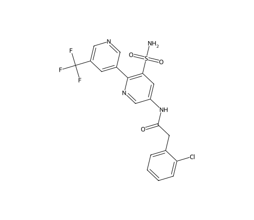 NS(=O)(=O)c1cc(NC(=O)Cc2ccccc2Cl)cnc1-c1cncc(C(F)(F)F)c1